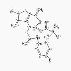 C=C(CN1C2=C(CN(C(C)C)C2=C)C(=C)n2nc(C(C)(C)O)cc21)Nc1ccc(F)cn1